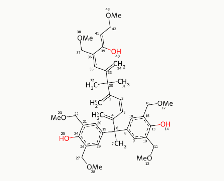 C=C(/C=C\C(=C)C(C)(c1cc(COC)c(O)c(COC)c1)c1cc(COC)c(O)c(COC)c1)C(C)(C)C(=C)/C=C(COC)\C(O)=C\COC